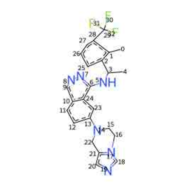 Cc1c(C(C)Nc2nncc3ccc(N4CCn5cncc5C4)cc23)cccc1C(F)(F)F